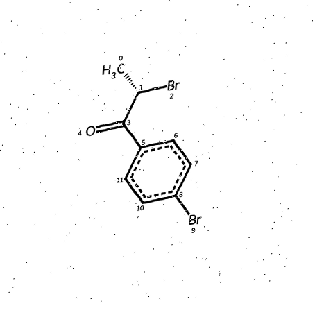 C[C@H](Br)C(=O)c1ccc(Br)cc1